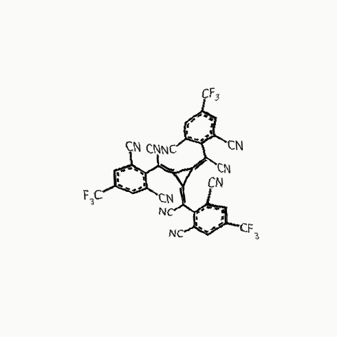 N#CC(=C1C(=C(C#N)c2c(C#N)cc(C(F)(F)F)cc2C#N)C1=C(C#N)c1c(C#N)cc(C(F)(F)F)cc1C#N)c1c(C#N)cc(C(F)(F)F)cc1C#N